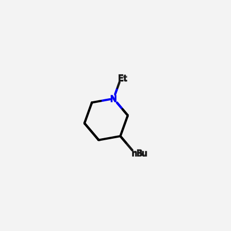 [CH2]CCCC1CCCN(CC)C1